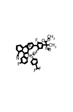 COC(=O)C(C)(N=O)c1cc(F)c(-c2cccc(-c3c(-c4c(C#N)cccc4C#N)c4cc(F)ccc4n3[S+]([O-])c3ccc(C(F)F)cc3)c2)c(F)c1